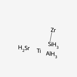 [AlH3].[SiH3][Zr].[SrH2].[Ti]